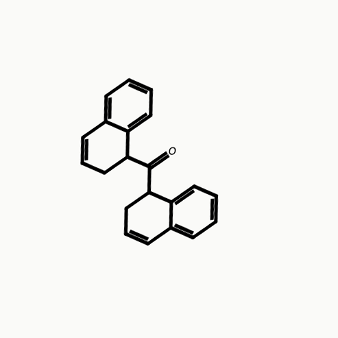 O=C(C1CC=Cc2ccccc21)C1CC=Cc2ccccc21